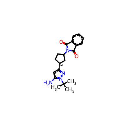 CC(C)(C)n1nc([C@H]2CCC(N3C(=O)c4ccccc4C3=O)C2)cc1N